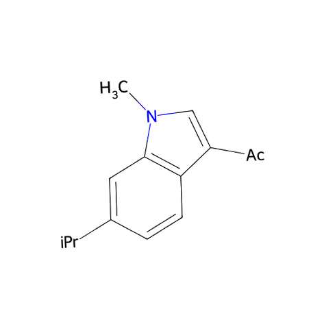 CC(=O)c1cn(C)c2cc(C(C)C)ccc12